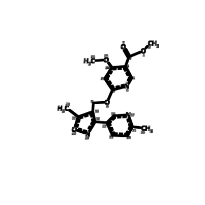 COC(=O)c1cnc(OCc2c(-c3ccc(C)nc3)noc2C)cc1OC